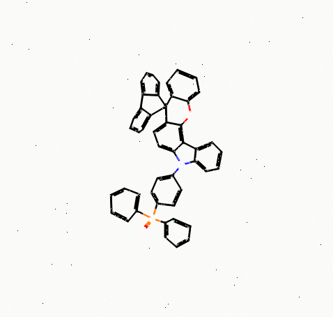 O=P(c1ccccc1)(c1ccccc1)c1ccc(-n2c3ccccc3c3c4c(ccc32)C2(c3ccccc3O4)c3ccccc3-c3ccccc32)cc1